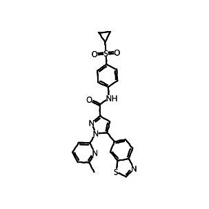 Cc1cccc(-n2nc(C(=O)Nc3ccc(S(=O)(=O)C4CC4)cc3)cc2-c2ccc3ncsc3c2)n1